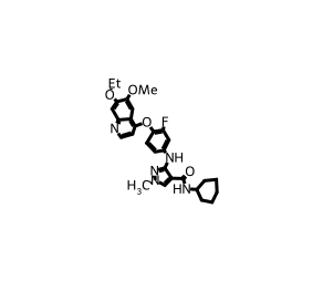 CCOc1cc2nccc(Oc3ccc(Nc4nn(C)cc4C(=O)NC4CCCCC4)cc3F)c2cc1OC